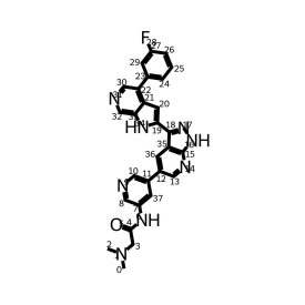 CN(C)CC(=O)Nc1cncc(-c2cnc3[nH]nc(-c4cc5c(-c6cccc(F)c6)cncc5[nH]4)c3c2)c1